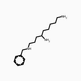 NCCCCCC(N)CCCNCc1ccccc1